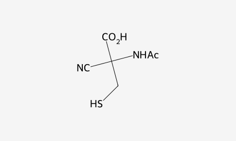 CC(=O)NC(C#N)(CS)C(=O)O